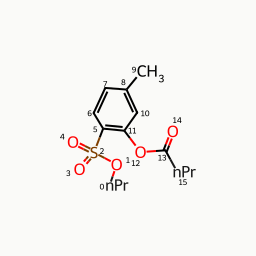 CCCOS(=O)(=O)c1ccc(C)cc1OC(=O)CCC